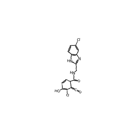 O=C=C1C(Cl)=C(O)C=CC1C(=O)NCc1nc2cc(Cl)ccc2[nH]1